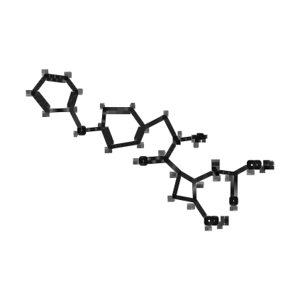 CCCN(Cc1ccc(Oc2ccccc2)cc1)C(=O)C1CC(C(=O)O)C1NC(=O)C(=O)OCC